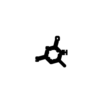 Cc1cc(=S)sc(=O)[nH]1